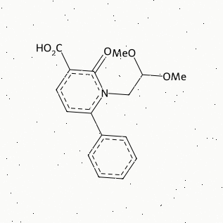 COC(Cn1c(-c2ccccc2)ccc(C(=O)O)c1=O)OC